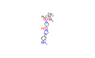 CC(C)(C)OC(=O)N1CCC(O)(CN2CCN(c3ccc(N)cc3)CC2)CC1